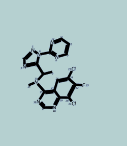 CC(c1ncnn1-c1ncccn1)N(C)c1ncnc2c(Cl)c(F)c(Cl)cc12